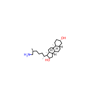 C[C@H](CN)CCC[C@@H](C)C1[C@@H](O)C[C@H]2[C@@H]3CC[C@H]4C[C@@H](O)CC[C@]4(C)[C@H]3CC[C@]12C